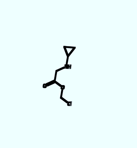 O=C(CNC1CC1)OCCl